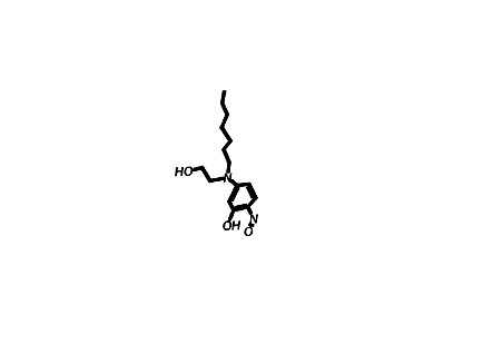 CCCCCCCN(CCO)c1ccc(N=O)c(O)c1